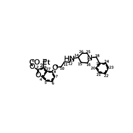 CCOC(=O)Oc1oc2cccc(OCCCNC3CCN(Cc4ccccc4)CC3)c2c1C